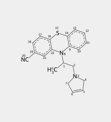 CC(CN1CC=CC1)N1c2ccccc2Sc2ccc(C#N)cc21